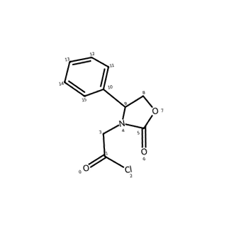 O=C(Cl)CN1C(=O)OCC1c1ccccc1